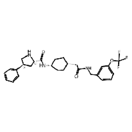 O=C(C[C@H]1CC[C@@H](NC(=O)[C@@H]2C[C@@H](c3ccccc3)CN2)CC1)NCc1cccc(OC(F)(F)F)c1